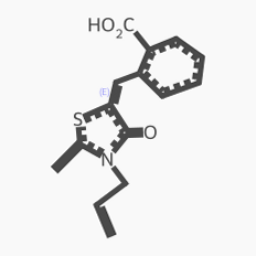 C=CCn1c(=C)s/c(=C/c2ccccc2C(=O)O)c1=O